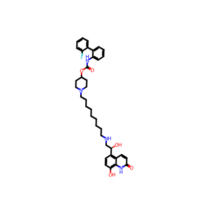 O=C(Nc1ccccc1-c1ccccc1F)OC1CCN(CCCCCCCCCNC[C@@H](O)c2ccc(O)c3[nH]c(=O)ccc23)CC1